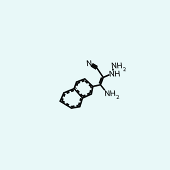 N#C/C(NN)=C(/N)c1ccc2ccccc2c1